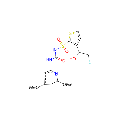 COc1cc(NC(=O)NS(=O)(=O)c2sccc2C(O)CF)nc(OC)c1